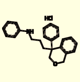 Cl.c1ccc(NCCCC2(c3ccccc3)COCc3ccccc32)cc1